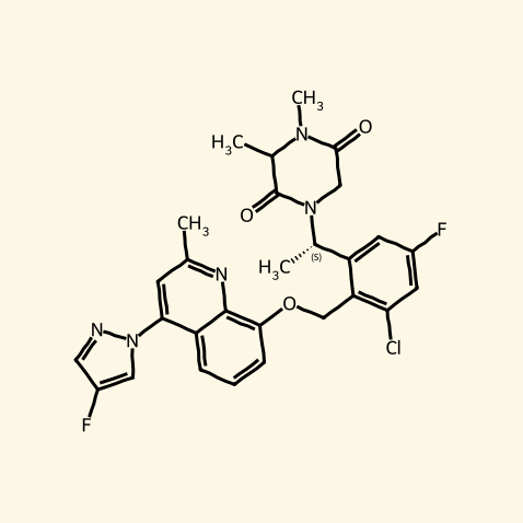 Cc1cc(-n2cc(F)cn2)c2cccc(OCc3c(Cl)cc(F)cc3[C@H](C)N3CC(=O)N(C)C(C)C3=O)c2n1